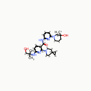 CC1(O)CCCN(c2cccc(NC(=O)c3ccc(NC(C)(C)CO)nc3N3CCC4(CC3)CC4)n2)C1